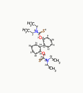 CCN(CC)C(=S)Oc1ccccc1-c1ccccc1OC(=S)N(CC)CC